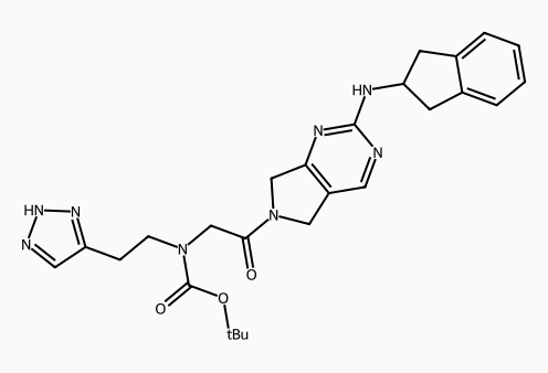 CC(C)(C)OC(=O)N(CCc1cn[nH]n1)CC(=O)N1Cc2cnc(NC3Cc4ccccc4C3)nc2C1